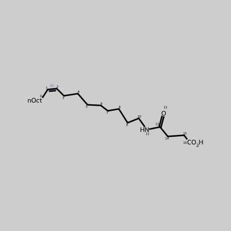 CCCCCCCC/C=C\CCCCCCCCNC(=O)CCC(=O)O